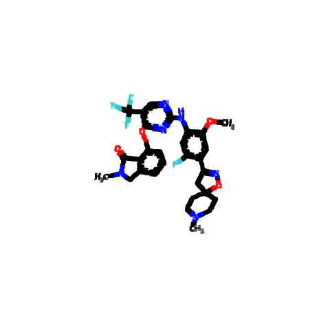 COc1cc(C2=NOC3(CCN(C)CC3)C2)c(F)cc1Nc1ncc(C(F)(F)F)c(Oc2cccc3c2C(=O)N(C)C3)n1